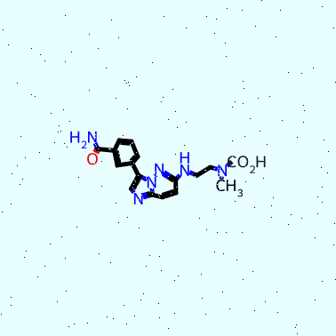 CN(CCNc1ccc2ncc(-c3cccc(C(N)=O)c3)n2n1)C(=O)O